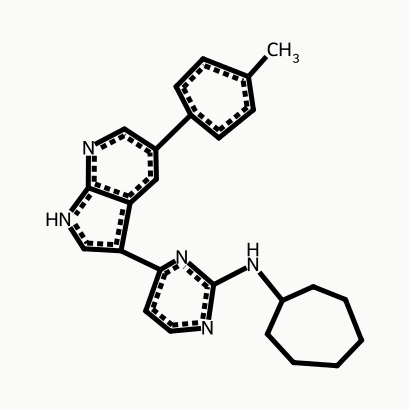 Cc1ccc(-c2cnc3[nH]cc(-c4ccnc(NC5CCCCCC5)n4)c3c2)cc1